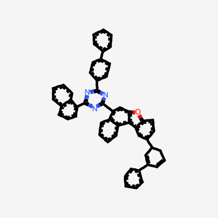 C1=CC(c2ccccc2)=CC(c2ccc3oc4cc(-c5nc(-c6ccc(-c7ccccc7)cc6)nc(-c6cccc7ccccc67)n5)c5ccccc5c4c3c2)C1